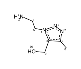 Cc1nnn(CCN)c1CO